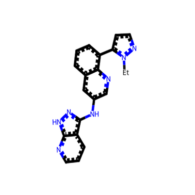 CCn1nccc1-c1cccc2cc(Nc3n[nH]c4ncccc34)cnc12